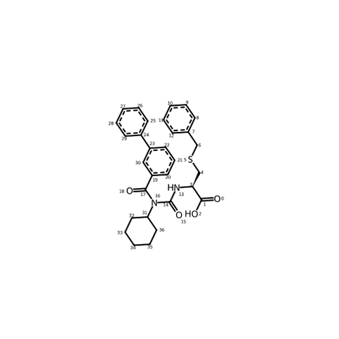 O=C(O)[C@H](CSCc1ccccc1)NC(=O)N(C(=O)c1cccc(-c2ccccc2)c1)C1CCCCC1